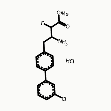 COC(=O)C(F)C(N)Cc1ccc(-c2cccc(Cl)c2)cc1.Cl